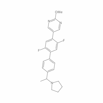 COc1ncc(-c2cc(F)c(-c3ccc(C(C)N4CCCC4)cc3)cc2F)cn1